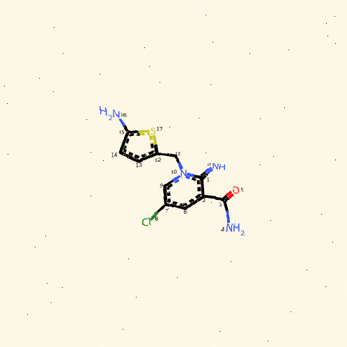 N=c1c(C(N)=O)cc(Cl)cn1Cc1ccc(N)s1